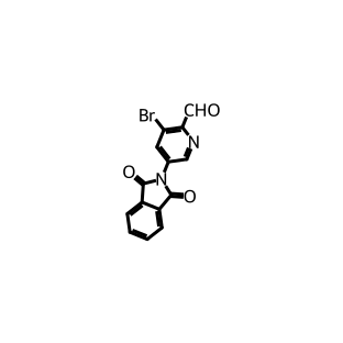 O=Cc1ncc(N2C(=O)c3ccccc3C2=O)cc1Br